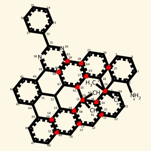 CC(C)(c1ccccc1N)c1ccccc1Cc1c(-c2ccccc2)cccc1-c1nc(-c2ccccc2)nc(-c2cccc(-c3ccccc3)c2C2c3ccccc3C(C)(C)c3ccccc32)n1